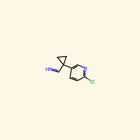 N=CC1(c2ccc(Cl)nc2)CC1